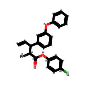 C=CC(c1cccc(Oc2ccccc2)c1)C(C(=O)Oc1ccc(Cl)cc1)C(C)C